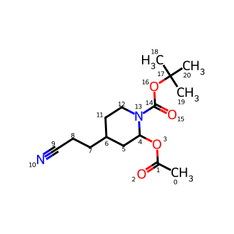 CC(=O)OC1CC(CCC#N)CCN1C(=O)OC(C)(C)C